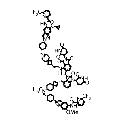 COc1cc2nn([C@H]3CC[C@H](CN(C)[C@H]4CCC5(CC4)C[C@@H](Cc4cccc6c4n(Cc4ccc7c(c4NCCC4CC8(CCN(C[C@H]9CC[C@H](n%10cc%11cc(NC(=O)c%12cccc(C(F)(F)F)n%12)c(OC%12CC%12)cc%11n%10)CC9)CC8)C4)C(=O)N(C4CCC(=O)NC4=O)C7=O)c(=O)n6C4CCC(=O)NC4=O)C5)CC3)cc2cc1NC(=O)c1cccc(C(F)(F)F)n1